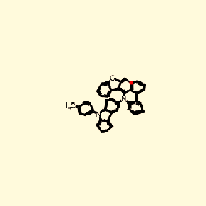 Cc1ccc(-n2c3ccccc3c3cc(N(c4ccccc4-c4ccccc4)c4cccc5oc6ccccc6c45)ccc32)cc1